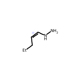 CCC/C=C\NN